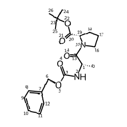 C[C@H](NC(=O)OCc1ccccc1)C(=O)N1CCC[C@H]1C(=O)OC(C)(C)C